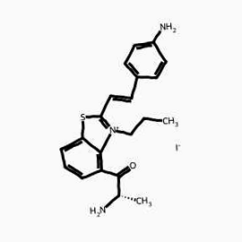 CCC[n+]1c(C=Cc2ccc(N)cc2)sc2cccc(C(=O)[C@H](C)N)c21.[I-]